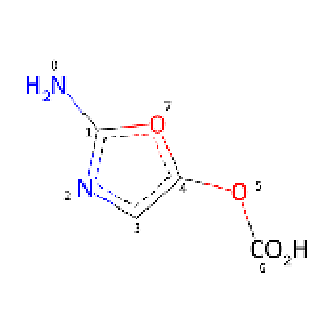 Nc1ncc(OC(=O)O)o1